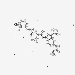 CC(O)c1cn(CC(=O)N(CC(=O)NCc2cccc(Cl)c2F)C2CC2)c2ccc(NC(=O)OC(C)(C)C)cc12